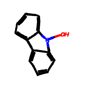 On1c2ccccc2c2ccccc21